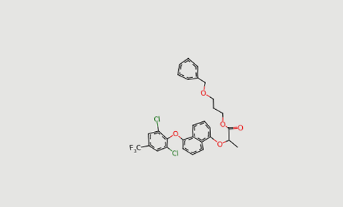 CC(Oc1cccc2c(Oc3c(Cl)cc(C(F)(F)F)cc3Cl)cccc12)C(=O)OCCCOCc1ccccc1